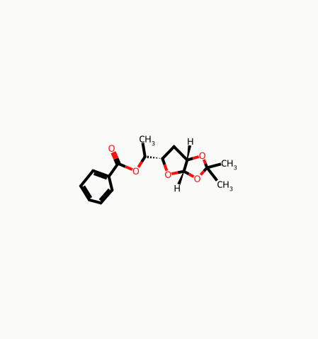 CC(OC(=O)c1ccccc1)[C@@H]1C[C@@H]2OC(C)(C)O[C@@H]2O1